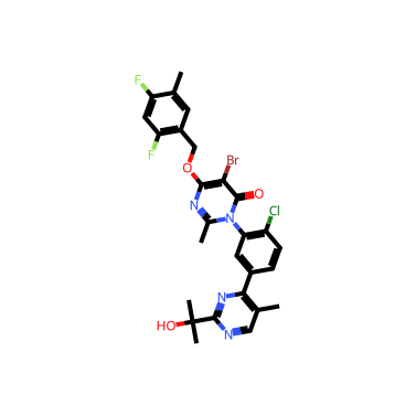 Cc1cc(COc2nc(C)n(-c3cc(-c4nc(C(C)(C)O)ncc4C)ccc3Cl)c(=O)c2Br)c(F)cc1F